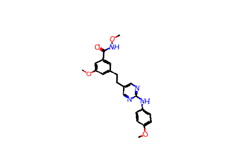 CONC(=O)c1cc(CCc2cnc(Nc3ccc(OC)cc3)nc2)cc(OC)c1